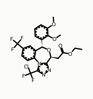 CCOC(=O)C[C@@H]1O[C@@H](c2cccc(OC)c2OC)c2cc(C(F)(F)F)ccc2-n2c1nnc2C(F)(F)Cl